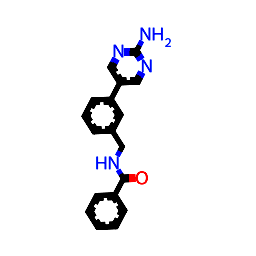 Nc1ncc(-c2cccc(CNC(=O)c3ccccc3)c2)cn1